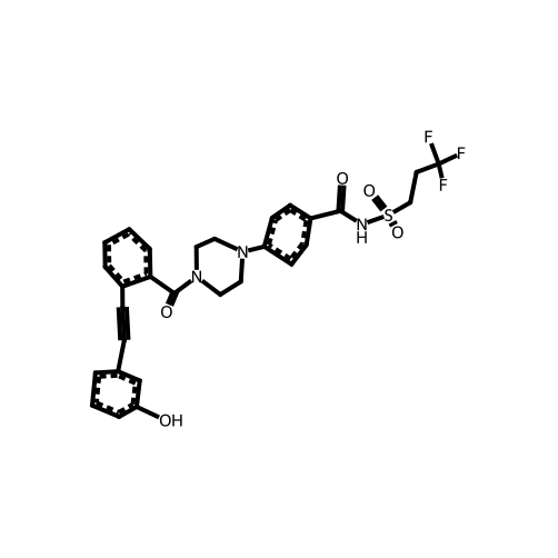 O=C(NS(=O)(=O)CCC(F)(F)F)c1ccc(N2CCN(C(=O)c3ccccc3C#Cc3cccc(O)c3)CC2)cc1